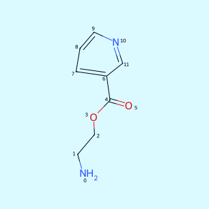 NCCOC(=O)c1cccnc1